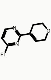 CCc1ccnc(C2=CCOCC2)n1